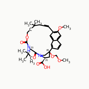 COCO[C@@]12C[C@@H](C(=O)O)N(C1)C(=O)[C@H](C(C)(C)C)NC(=O)OCCC(C)(C)CC=Cc1cc3cc2ccc3cc1OC